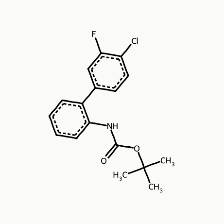 CC(C)(C)OC(=O)Nc1ccccc1-c1ccc(Cl)c(F)c1